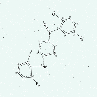 O=C(c1ccc(Nc2c(F)cccc2F)nc1)c1cc(Cl)ccc1Cl